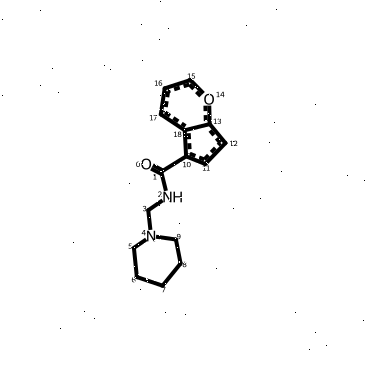 O=C(NCN1CCCCC1)c1ccc2occcc1-2